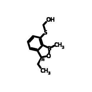 CC[C@@H]1OB(C)c2c(SCO)cccc21